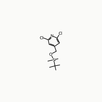 CC(C)(C)[Si](C)(C)OCc1cc(Cl)nc(Cl)c1